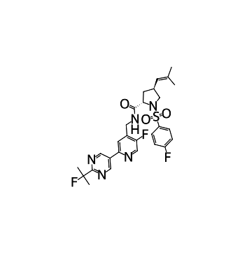 CC(C)=C[C@@H]1C[C@@H](C(=O)NCc2cc(-c3cnc(C(C)(C)F)nc3)ncc2F)N(S(=O)(=O)c2ccc(F)cc2)C1